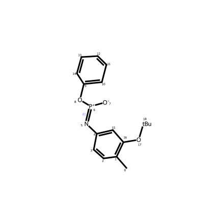 Cc1ccc(/N=[P+](\[O-])Oc2ccccc2)cc1OC(C)(C)C